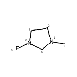 CN1CCN(F)C1